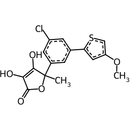 COc1csc(-c2cc(Cl)cc(C3(C)OC(=O)C(O)=C3O)c2)c1